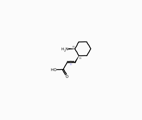 N[C@H]1CCCC[C@H]1/C=C/C(=O)O